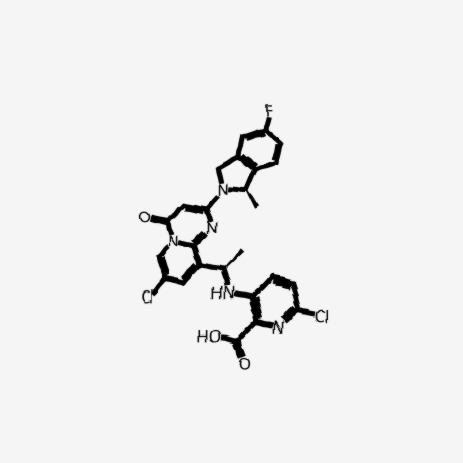 C[C@@H]1c2ccc(F)cc2CN1c1cc(=O)n2cc(Cl)cc([C@@H](C)Nc3ccc(Cl)nc3C(=O)O)c2n1